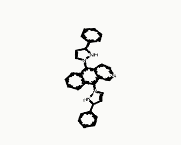 C1=CN(c2c3ccccc3c(N3C=CC(c4ccccc4)N3)c3cnccc23)NC1c1ccccc1